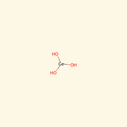 [OH][Ge]([OH])[OH]